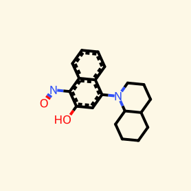 O=Nc1c(O)cc(N2CCCC3CCCCC32)c2ccccc12